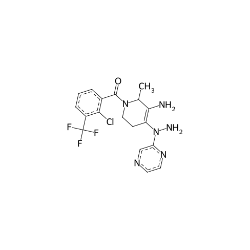 CC1C(N)=C(N(N)c2cnccn2)CCN1C(=O)c1cccc(C(F)(F)F)c1Cl